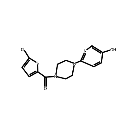 O=C(c1ccc(Cl)s1)N1CCN(c2ccc(O)cn2)CC1